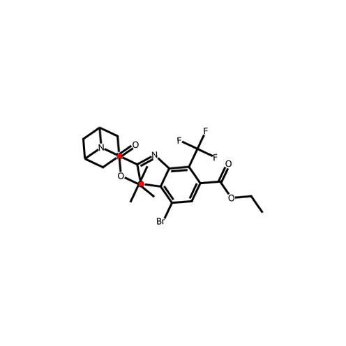 CCOC(=O)c1cc(Br)c2oc(N3CC4CC(C3)N4C(=O)OC(C)(C)C)nc2c1C(F)(F)F